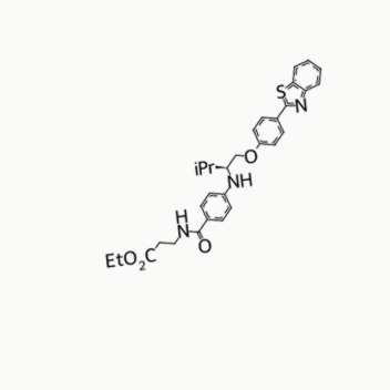 CCOC(=O)CCNC(=O)c1ccc(N[C@H](COc2ccc(-c3nc4ccccc4s3)cc2)C(C)C)cc1